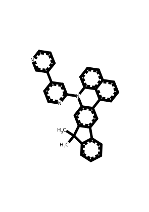 CC1(C)c2ccccc2-c2cc3c(cc21)N(c1cc(-c2cccnc2)ccn1)c1cccc2cccc-3c12